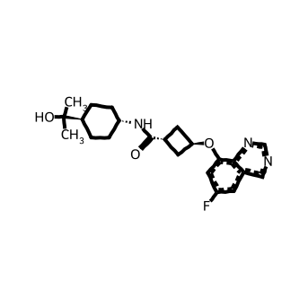 CC(C)(O)[C@H]1CC[C@H](NC(=O)[C@H]2C[C@H](Oc3cc(F)cc4cncnc34)C2)CC1